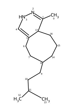 CC1=NNC=C2CCC(CCC(C)C)CCCC21